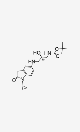 CC(C)(C)OC(=O)NC[C@H](O)CNc1ccc2c(c1)CC(=O)N2C1CC1